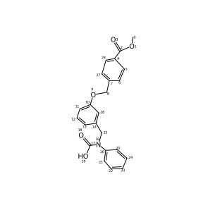 COC(=O)c1ccc(COc2cccc(CN(C(=O)O)c3ccccc3)c2)cc1